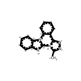 Cc1nnc2c3ccccc3n3c4ccccc4nc3n12